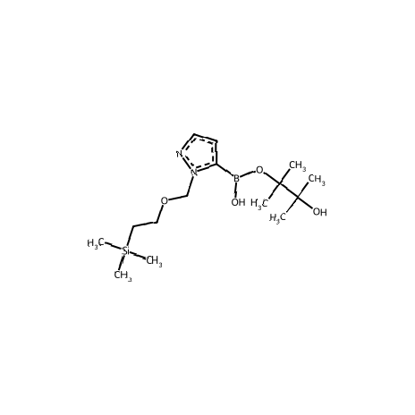 CC(C)(O)C(C)(C)OB(O)c1ccnn1COCC[Si](C)(C)C